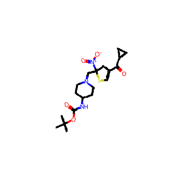 CC(C)(C)OC(=O)NC1CCN(CC2([N+](=O)[O-])CC(C(=O)C3CC3)=CS2)CC1